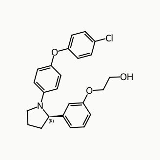 OCCOc1cccc([C@H]2CCCN2c2ccc(Oc3ccc(Cl)cc3)cc2)c1